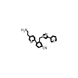 N#Cc1ccc(-c2ccc(CCN)cn2)c(Cn2cnc(-c3ccccc3)c2)c1